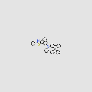 c1ccc(-c2nc3c(s2)-c2cc(N(c4ccccc4)c4ccc5c(c4)C(c4ccccc4)(c4ccccc4)c4ccccc4-5)cc4cccc-3c24)cc1